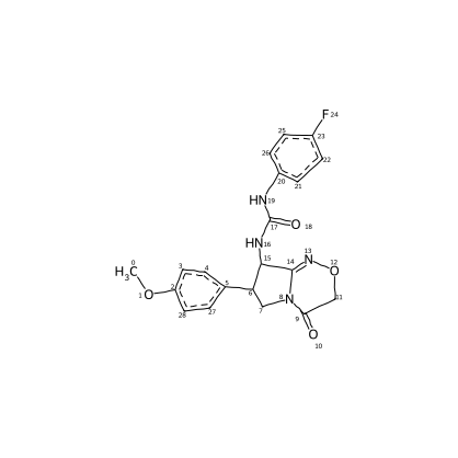 COc1ccc(C2CN3C(=O)CON=C3C2NC(=O)Nc2ccc(F)cc2)cc1